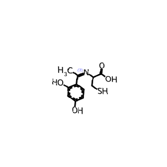 C/C(=N/C(CS)C(=O)O)c1ccc(O)cc1O